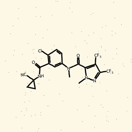 CN(C(=O)c1c(C(F)(F)F)c(C(F)(F)F)nn1C)c1ccc(Cl)c(C(=O)NC2(C#N)CC2)c1